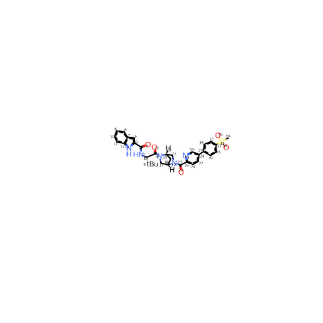 CC(C)(C)[C@H](NC(=O)c1cc2ccccc2[nH]1)C(=O)N1C[C@@H]2C[C@H]1CN2C(=O)c1ccc(-c2ccc(S(C)(=O)=O)cc2)cn1